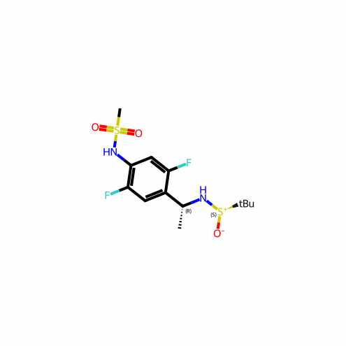 C[C@@H](N[S@+]([O-])C(C)(C)C)c1cc(F)c(NS(C)(=O)=O)cc1F